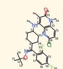 Cc1c(N(C)C2CCC(/C(=N/OC(C)(C)C)c3ccc(F)cc3F)CC2)c2nc(Cl)ccc2n(C)c1=O